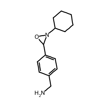 NCc1ccc(C2ON2C2CCCCC2)cc1